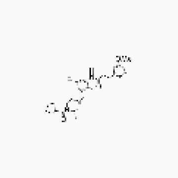 COc1cccc(CCC(=O)Nc2cc(F)cc(CN3CCN(C(=O)C4CCCC4)[C@@H](C)C3)c2C)c1